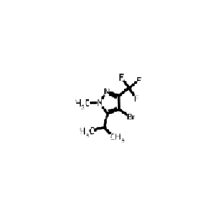 CC(C)c1c(Br)c(C(F)(F)F)nn1C